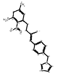 CC1=CC(CCC(F)=Cc2ccc(Cn3ccnc3)cc2)C([N+](=O)[O-])=C(C)C1